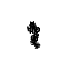 O=C(NCc1ccc(S(=O)(=O)c2cccc(-c3ccccc3)c2)cc1)c1cc2cnccc2[nH]1